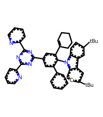 CC(C)(C)c1ccc2c(c1)c1cc(C(C)(C)C)ccc1n2-c1c(C2=CCCCC2)cc(-c2nc(-c3ccccn3)nc(-c3ccccn3)n2)cc1-c1ccccc1